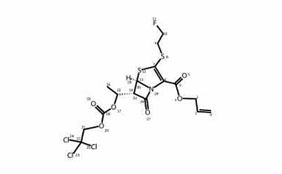 C=CCOC(=O)C1=C(SCCF)S[C@@H]2[C@@H](C(C)OC(=O)OCC(Cl)(Cl)Cl)C(=O)N12